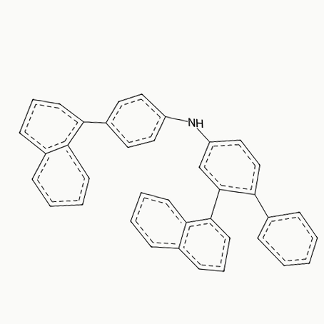 c1ccc(-c2ccc(Nc3ccc(-c4cccc5ccccc45)cc3)cc2-c2cccc3ccccc23)cc1